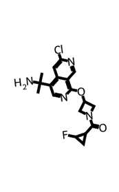 CC(C)(N)c1cnc(OC2CN(C(=O)C3CC3F)C2)c2cnc(Cl)cc12